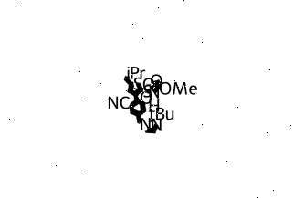 COC(=O)NS(=O)(=O)c1sc(CC(C)C)cc1-c1ccc(Cn2ccnc2C(C)(C)C)cc1C#N